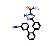 N#Cc1cccc(-c2ccccc2-c2cccc(-c3n[nH]c(C(N)=O)n3)c2)c1